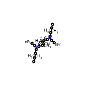 CCCc1ccc(-c2ccc(N(c3ccc(-c4ccc(C(C)(C)c5ccc(-c6ccccc6)cc5)cc4)cc3)c3ccc(-c4ccc5c(c4)C4(CC5(C)C)CC(C)(C)c5ccc(-c6ccc(N(c7ccc(-c8ccc(CCC)cc8)cc7)c7ccc(-c8ccc(C(C)(C)c9ccc(-c%10ccccc%10)cc9)cc8)cc7)cc6C)cc54)c(C)c3)cc2)cc1